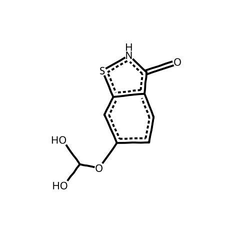 O=c1[nH]sc2cc(OC(O)O)ccc12